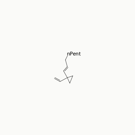 C=CC1(C=CCCCCCC)CC1